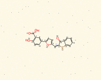 O=C(O)c1cc(-c2ccc(/C=C3/Sc4ccccc4C3=O)o2)ccc1O